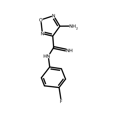 N=C(Nc1ccc(F)cc1)c1nonc1N